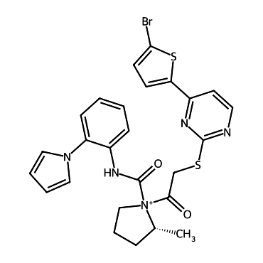 C[C@@H]1CCC[N+]1(C(=O)CSc1nccc(-c2ccc(Br)s2)n1)C(=O)Nc1ccccc1-n1cccc1